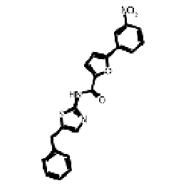 O=C(Nc1ncc(Cc2ccccc2)s1)c1ccc(-c2cccc([N+](=O)[O-])c2)o1